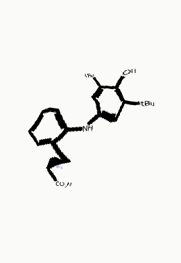 CC(C)(C)c1cc(Nc2ccccc2/C=C/C(=O)O)cc(C(C)(C)C)c1O